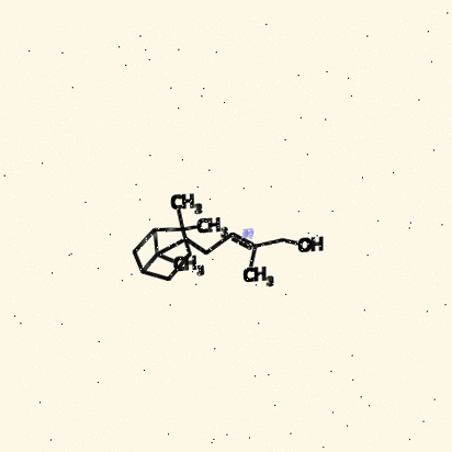 C/C(=C\CCC1(C)C2CCC(C)(C)C1C2)CO